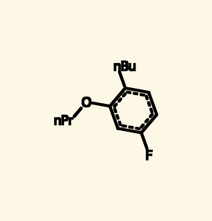 CCCCc1ccc(F)cc1OCCC